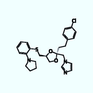 Clc1ccc(CC[C@]2(Cn3ccnc3)OC[C@@H](CSc3ccccc3N3CCCC3)O2)cc1